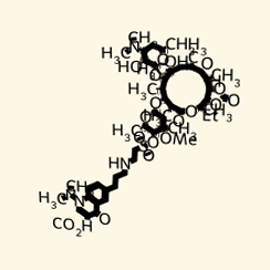 CC[C@H]1OC(=O)[C@H](C)[C@@H](O[C@H]2C[C@@](C)(OC)[C@@H](OS(=O)(=O)CCNCCCc3ccc4c(c3)c(=O)c(C(=O)O)cn4N(C)C)[C@H](C)O2)[C@H](C)[C@@H](O[C@@H]2O[C@H](C)C[C@H](N(C)C)[C@H]2O)[C@](C)(O)C[C@@H](C)C(=O)[C@@H](C)[C@H]2OC(=O)OC21C